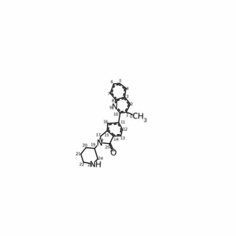 Cc1cc2ccccc2nc1-c1ccc2c(c1)CN(C1CCCNC1)C2=O